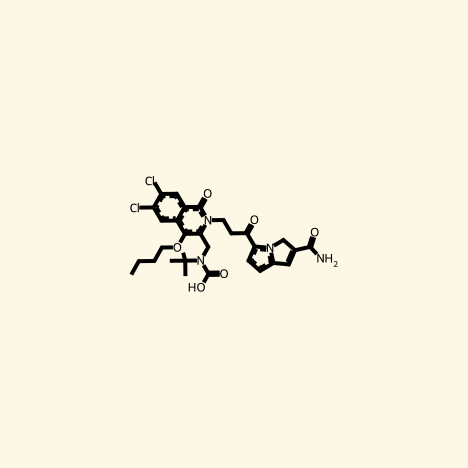 CCCCOc1c(CN(C(=O)O)C(C)(C)C)n(CCC(=O)c2ccc3n2CC(C(N)=O)=C3)c(=O)c2cc(Cl)c(Cl)cc12